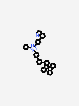 c1ccc(-c2nc(-c3ccc(-c4cccc(-c5cccc6c5-c5ccccc5C65c6ccccc6-c6ccccc65)c4)cc3)nc(-c3ccc(-c4cccc5cccnc45)cc3)n2)cc1